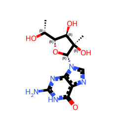 C[C@@H](O)[C@H]1O[C@@H](n2cnc3c(=O)[nH]c(N)nc32)[C@](C)(O)[C@@H]1O